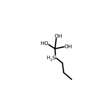 CCC[SiH2]C(O)(O)O